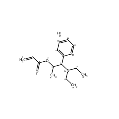 C=CC(=O)OC(C)C(c1ccccc1)N(CC)CC.I